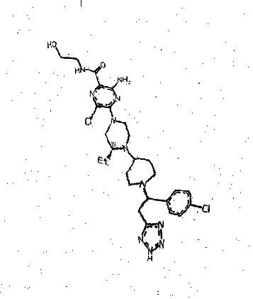 CC[C@H]1CN(c2nc(N)c(C(=O)NCCO)nc2Cl)CCN1C1CCN(C(Cc2nn[nH]n2)c2ccc(Cl)cc2)CC1